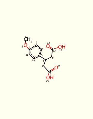 COc1ccc(C(CC(=O)O)CC(=O)O)cc1